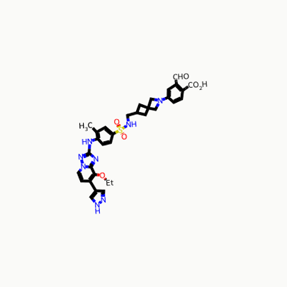 CCOc1c(-c2cn[nH]c2)ccn2nc(Nc3ccc(S(=O)(=O)NCC4CC5(C4)CN(c4ccc(C(=O)O)c(C=O)c4)C5)cc3C)nc12